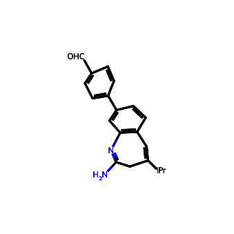 CC(C)C1=Cc2ccc(-c3ccc(C=O)cc3)cc2N=C(N)C1